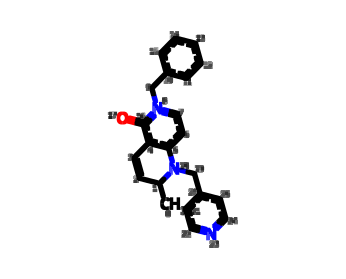 CC1C=Cc2c(ccn(Cc3ccccc3)c2=O)N1Cc1ccncc1